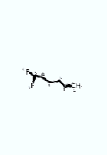 [CH]=CCCCC(F)F